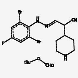 CC(C)(C)OC=O.N#CC(C=NNc1c(Br)cc(F)cc1Br)C1CCNCC1